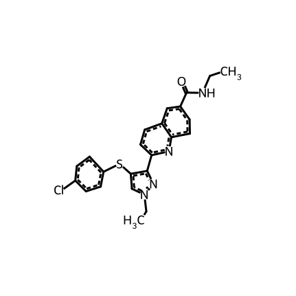 CCNC(=O)c1ccc2nc(-c3nn(CC)cc3Sc3ccc(Cl)cc3)ccc2c1